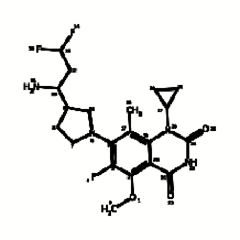 COc1c(F)c(N2CCC(C(N)CC(F)F)C2)c(C)c2c1c(=O)[nH]c(=O)n2C1CC1